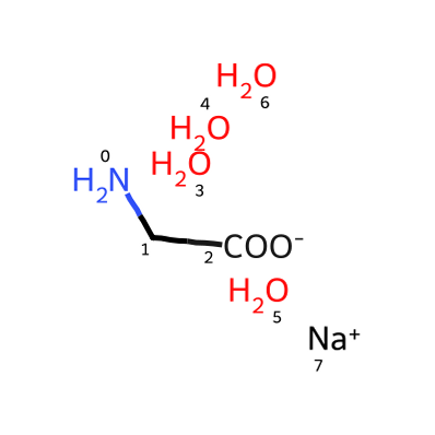 NCC(=O)[O-].O.O.O.O.[Na+]